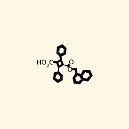 O=C(O)C1C(c2ccccc2)[C@@H](C(=O)OCc2cccc3ccccc23)[C@H]1c1ccccc1